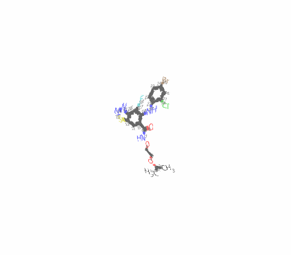 CC(C)OCCONC(=O)c1cc2snnc2c(F)c1Nc1ccc(Br)cc1Cl